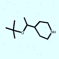 CC(OC(C)(C)C)C1CCNCC1